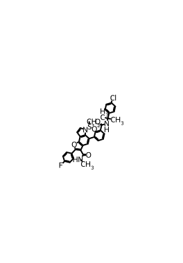 CNC(=O)c1c(-c2ccc(F)cc2)oc2c1cc(-c1cccc(C(=O)NC(C)(C)c3ccc(Cl)cc3)c1)c1c2ccn1[S+](C)[O-]